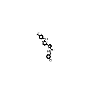 COc1ccc(Nc2nccc(-c3ccc(C(=O)NCc4cccc(Cl)c4)s3)n2)cc1